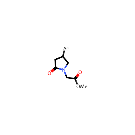 COC(=O)CN1CC(C(C)=O)CC1=O